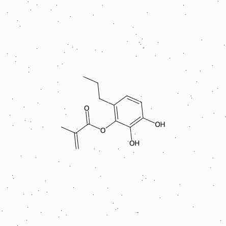 C=C(C)C(=O)Oc1c(CCC)ccc(O)c1O